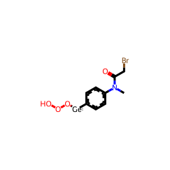 CN(C(=O)CBr)c1cc[c]([Ge][O]OO)cc1